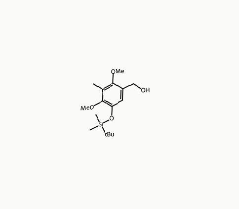 COc1c(CO)cc(O[Si](C)(C)C(C)(C)C)c(OC)c1C